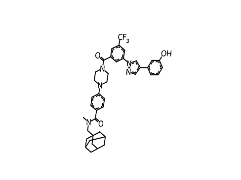 CN(CC12CC3CC(CC(C3)C1)C2)C(=O)c1ccc(N2CCN(C(=O)c3cc(-n4cc(-c5cccc(O)c5)cn4)cc(C(F)(F)F)c3)CC2)cc1